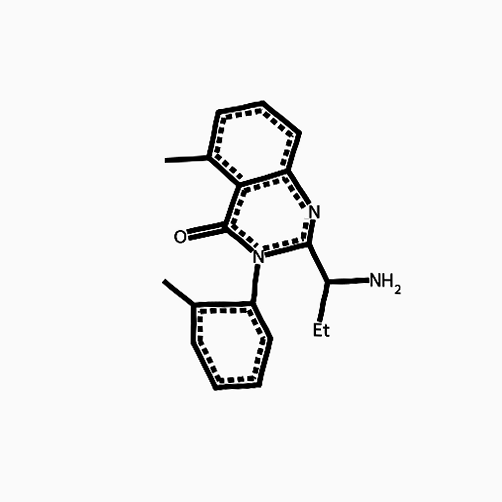 CCC(N)c1nc2cccc(C)c2c(=O)n1-c1ccccc1C